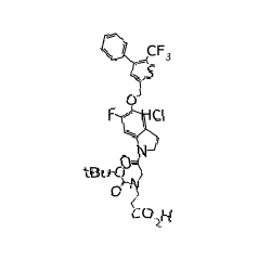 CC(C)(C)OC(=O)N(CCC(=O)O)CC(=O)N1CCc2cc(OCc3cc(-c4ccccc4)c(C(F)(F)F)s3)c(F)cc21.Cl